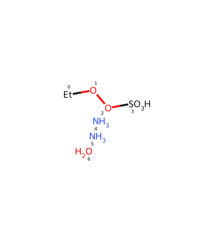 CCOOS(=O)(=O)O.N.N.O